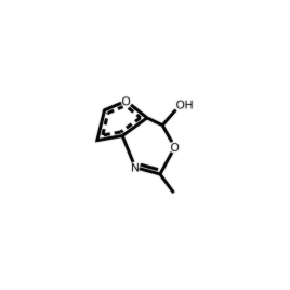 CC1=Nc2ccoc2C(O)O1